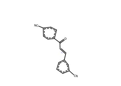 N#Cc1ccc(C(=O)/C=C/c2cccc(C#N)c2)cc1